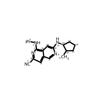 CC(C)Nc1nc(C#N)cc2cnc(N[C@H]3CCCC3C)cc12